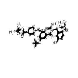 CCS(=O)(=O)c1ccc(Cl)cc1Cn1c(N)nc2c(CN3CCN(C(=O)OC(C)(C)C)CC3)cc(OC(F)(F)F)cc2c1=O